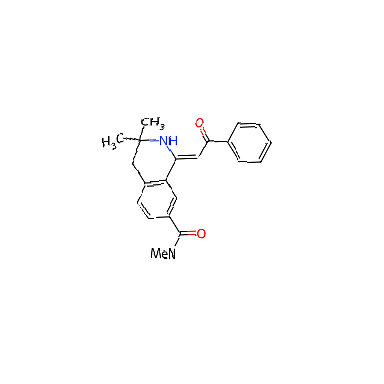 CNC(=O)c1ccc2c(c1)C(=CC(=O)c1ccccc1)NC(C)(C)C2